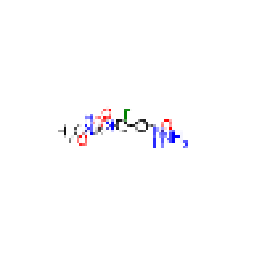 CC(=O)NC[C@H]1CN(c2ccc(-c3ccc(CNC(N)=O)cc3)c(F)c2)C(=O)O1